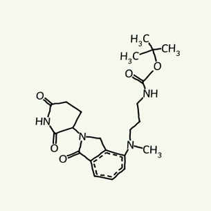 CN(CCCNC(=O)OC(C)(C)C)c1cccc2c1CN(C1CCC(=O)NC1=O)C2=O